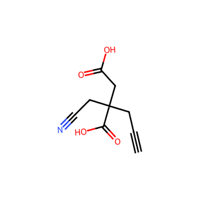 C#CCC(CC#N)(CC(=O)O)C(=O)O